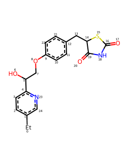 CCc1ccc(C(O)COc2ccc(CC3SC(=O)NC3=O)cc2)nc1